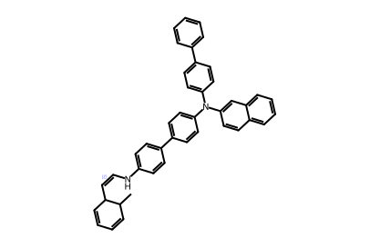 CC1C=CC=CC1/C=C\Nc1ccc(-c2ccc(N(c3ccc(-c4ccccc4)cc3)c3ccc4ccccc4c3)cc2)cc1